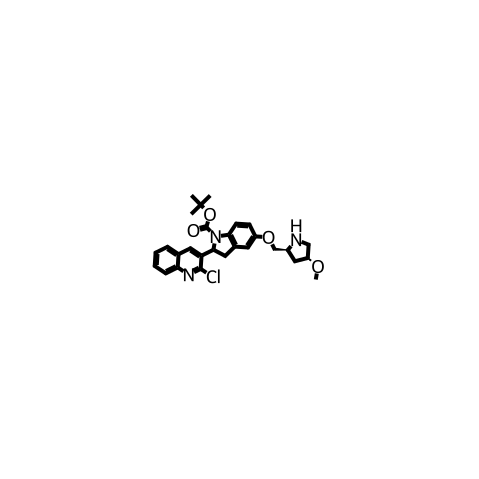 CO[C@H]1CN[C@H](COc2ccc3c(c2)CC(c2cc4ccccc4nc2Cl)N3C(=O)OC(C)(C)C)C1